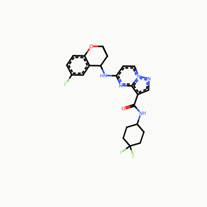 O=C(NC1CCC(F)(F)CC1)c1cnn2ccc(NC3CCOc4ccc(F)cc43)nc12